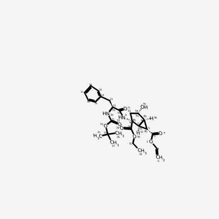 C=COC(=O)[C@H]1[C@H]2[C@@H]1[C@@](NC(=O)[C@H](Cc1ccccc1)NC(=O)OC(C)(C)C)(C(=O)OCC)C[C@@H]2O